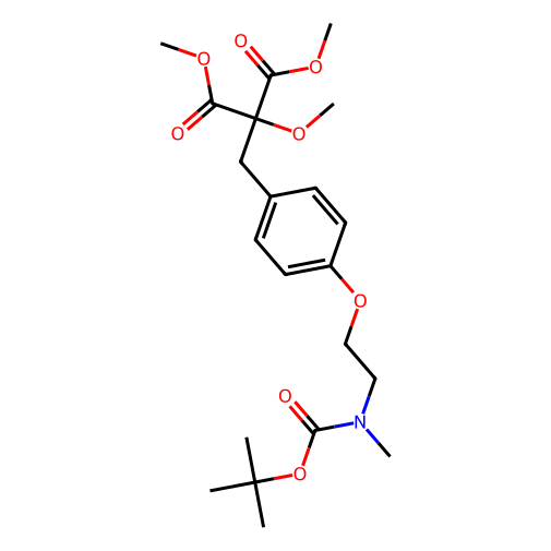 COC(=O)C(Cc1ccc(OCCN(C)C(=O)OC(C)(C)C)cc1)(OC)C(=O)OC